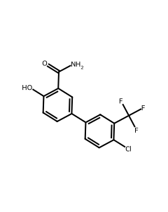 NC(=O)c1cc(-c2ccc(Cl)c(C(F)(F)F)c2)ccc1O